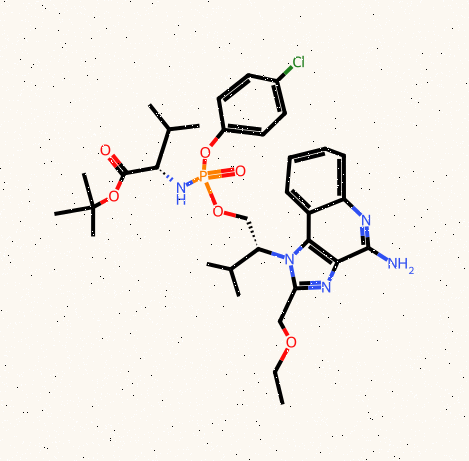 CCOCc1nc2c(N)nc3ccccc3c2n1[C@@H](COP(=O)(N[C@H](C(=O)OC(C)(C)C)C(C)C)Oc1ccc(Cl)cc1)C(C)C